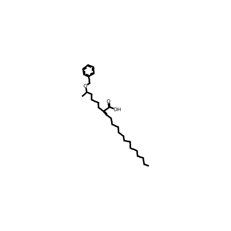 CCCCCCCCCCCCCC=C(CCCCC(C)OCc1ccccc1)C(=O)O